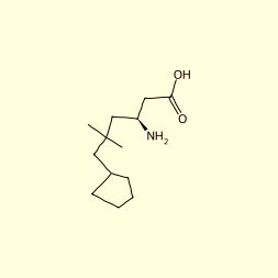 CC(C)(CC1CCCC1)C[C@H](N)CC(=O)O